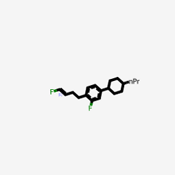 CCCC1CCC(c2ccc(CC/C=C/F)c(F)c2)CC1